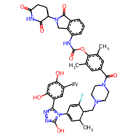 Cc1cc(C(=O)N2CCN(CC3C(F)=CC(n4c(O)nnc4-c4cc(C(C)C)c(O)cc4O)=CC3C)CC2)cc(C)c1OC(=O)Nc1cccc2c1CN(C1CCC(=O)NC1=O)C2=O